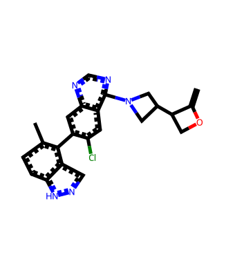 C=C1OCC1C1CN(c2ncnc3cc(-c4c(C)ccc5[nH]ncc45)c(Cl)cc23)C1